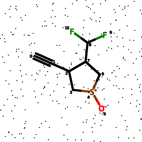 C#CC1C[S+]([O-])CC1C(F)F